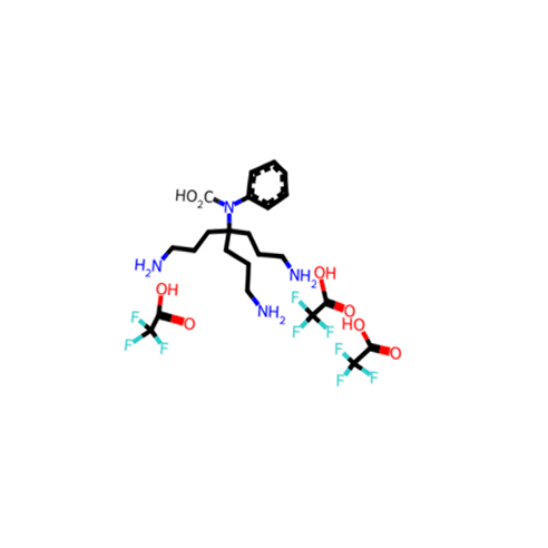 NCCCC(CCCN)(CCCN)N(C(=O)O)c1ccccc1.O=C(O)C(F)(F)F.O=C(O)C(F)(F)F.O=C(O)C(F)(F)F